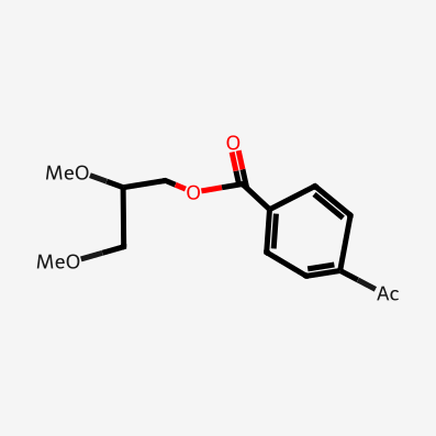 COCC(COC(=O)c1ccc(C(C)=O)cc1)OC